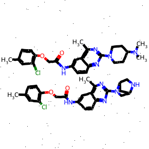 Cc1ccc(OCC(=O)Nc2ccc3nc(N4CC5CC4CN5)nc(C)c3c2)c(Cl)c1.Cc1ccc(OCC(=O)Nc2ccc3nc(N4CCC(N(C)C)CC4)nc(C)c3c2)c(Cl)c1